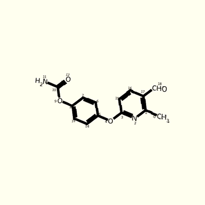 Cc1nc(Oc2ccc(OC(N)=O)cc2)ccc1C=O